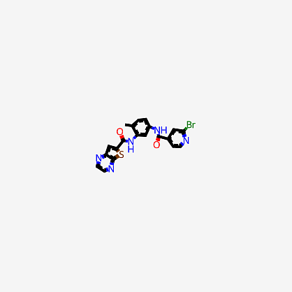 Cc1ccc(NC(=O)c2ccnc(Br)c2)cc1NC(=O)c1cc2nccnc2s1